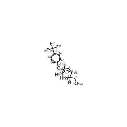 COC[C@H]1N[C@H]2CC[C@@H]1C[C@H]2Oc1ccc(C(F)(F)F)cn1